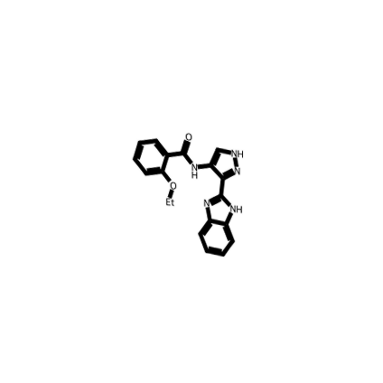 CCOc1ccccc1C(=O)Nc1c[nH]nc1-c1nc2ccccc2[nH]1